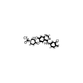 O=C(N1CCC(Oc2cc3c(Nc4ccc(F)c(Cl)c4)ncnc3cc2O)CC1)C(F)(F)F